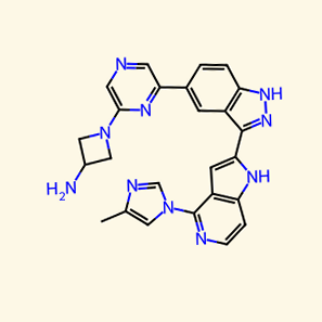 Cc1cn(-c2nccc3[nH]c(-c4n[nH]c5ccc(-c6cncc(N7CC(N)C7)n6)cc45)cc23)cn1